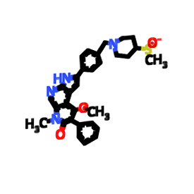 COc1c(-c2ccccc2)c(=O)n(C)c2cnc3[nH]c(-c4ccc(CN5CCC([S+](C)[O-])CC5)cc4)cc3c12